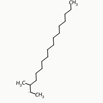 C[CH]C(C)CCCCCCCCCCCCCC